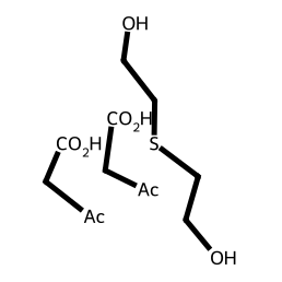 CC(=O)CC(=O)O.CC(=O)CC(=O)O.OCCSCCO